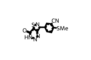 CSc1ccc(-c2nsc3c(=O)[nH]nnc23)cc1C#N